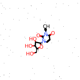 C#Cn1c(=O)ccn([C@H]2O[C@@H](CO)C(O)C2O)c1=O